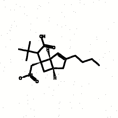 CCCCC1=C[C@H]2[C@H](C1)C[C@@]2(C[N+](=O)[O-])C(C(=O)O)C(C)(C)C